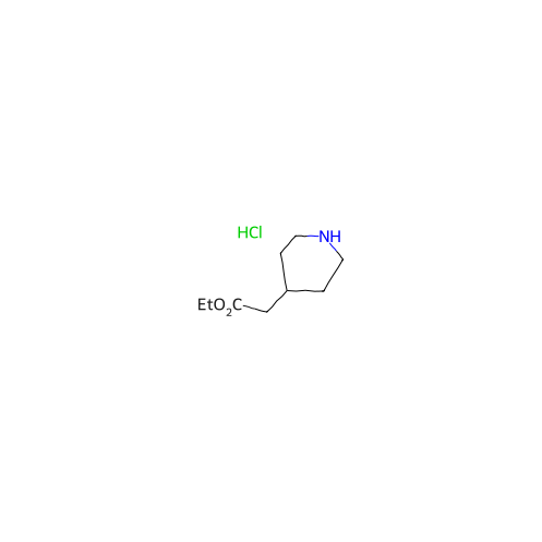 CCOC(=O)CC1CCNCC1.Cl